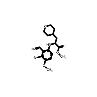 COC(=O)C(CC1CCOCC1)Nc1ccc(OC)c(Br)c1C=N